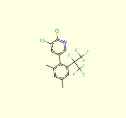 Cc1[c]c(C)c(-c2cnc(Cl)c(Cl)c2)c(C(F)(C(F)(F)F)C(F)(F)F)c1